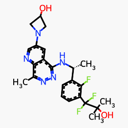 Cc1nnc(N[C@H](C)c2cccc(C(F)(F)C(C)(C)O)c2F)c2cc(N3CC(O)C3)cnc12